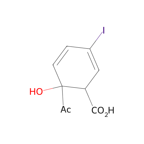 CC(=O)C1(O)C=CC(I)=CC1C(=O)O